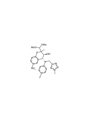 COC(OC)C1(C)Oc2ccc([N+](=O)[O-])cc2[C@@H](N(Cc2nnn(C)n2)c2ccc(F)cc2)[C@@H]1O